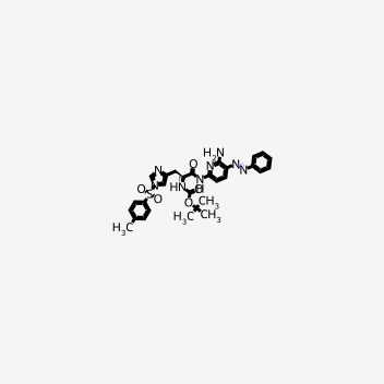 Cc1ccc(S(=O)(=O)n2cnc(C[C@H](NC(=O)OC(C)(C)C)C(=O)Nc3ccc(/N=N/c4ccccc4)c(N)n3)c2)cc1